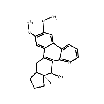 COc1cc2c3c(c4ncccc4c2cc1OC)[C@@H](O)[C@H]1CCCC1C3